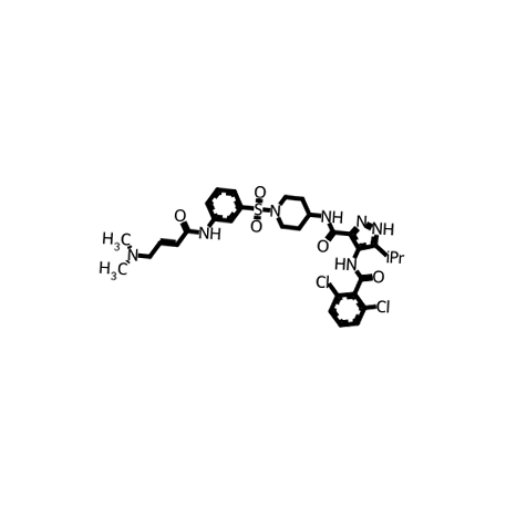 CC(C)c1[nH]nc(C(=O)NC2CCN(S(=O)(=O)c3cccc(NC(=O)C=CCN(C)C)c3)CC2)c1NC(=O)c1c(Cl)cccc1Cl